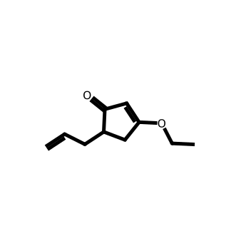 C=CCC1CC(OCC)=CC1=O